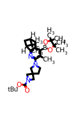 Cc1c(N2CCC3(CN(C(=O)OC(C)(C)C)C3)C2)nc2c(c1B1OC(C)(C)C(C)(C)O1)C[C@H]1C[C@@H]2C1(C)C